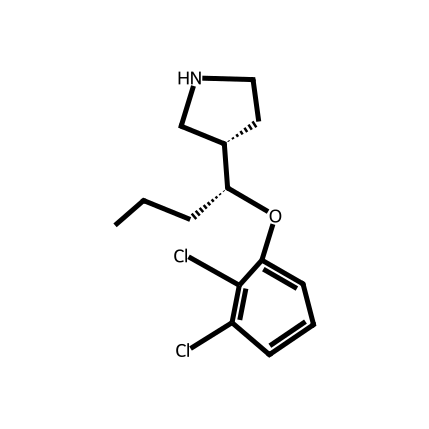 CCC[C@@H](Oc1cccc(Cl)c1Cl)[C@H]1CCNC1